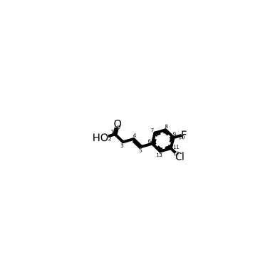 O=C(O)C/C=C/c1ccc(F)c(Cl)c1